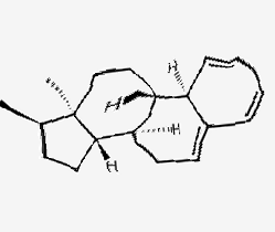 C[C@@H]1CC[C@H]2[C@@H]3CC=C4C=CC=C[C@@H]4[C@H]3CC[C@]12C